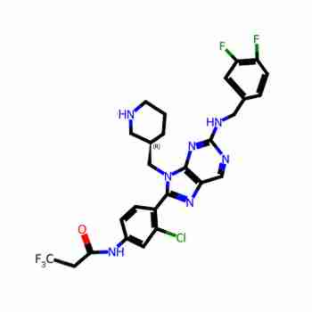 O=C(CC(F)(F)F)Nc1ccc(-c2nc3cnc(NCc4ccc(F)c(F)c4)nc3n2C[C@@H]2CCCNC2)c(Cl)c1